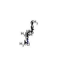 C=C(CCNC(=O)C1CN1SOCCOC)NC(=O)CO/C=C/C=C(/Cl)C(=C)F